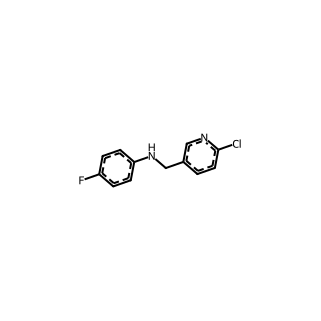 Fc1ccc(NCc2ccc(Cl)nc2)cc1